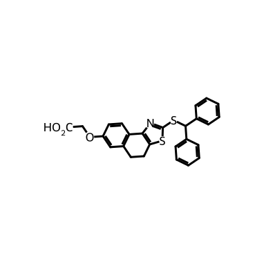 O=C(O)COc1ccc2c(c1)CCc1sc(SC(c3ccccc3)c3ccccc3)nc1-2